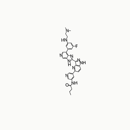 CCCC(=O)Nc1cncc(-c2ccc3[nH]nc(-c4nc5c(-c6cc(F)cc(NCCN(C)C)c6)cncc5[nH]4)c3n2)c1